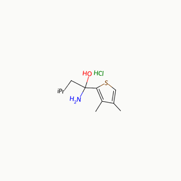 Cc1csc(C(N)(O)CC(C)C)c1C.Cl